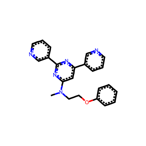 CN(CCOc1ccccc1)c1cc(-c2cccnc2)nc(-c2cccnc2)n1